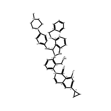 CN1CCN(c2ccc(NC3c4c(ccnc4OCc4ccccc4)NN3c3cccc(-n4ccc5cc(C6CC6)cc(F)c5c4=O)c3CO)nc2)CC1